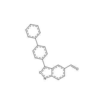 O=Cc1ccc2noc(-c3ccc(-c4ccccc4)cc3)c2c1